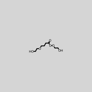 O=C(CCCOCCO)OOCCO